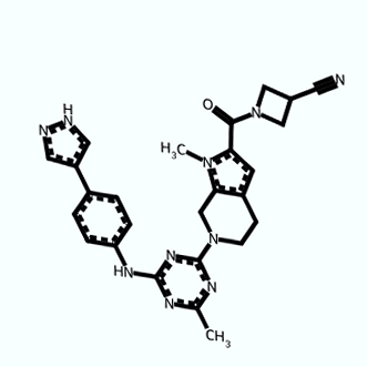 Cc1nc(Nc2ccc(-c3cn[nH]c3)cc2)nc(N2CCc3cc(C(=O)N4CC(C#N)C4)n(C)c3C2)n1